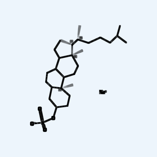 CC(C)CCC[C@@H](C)[C@H]1CCC2C3CCC4CC(OS(=O)(=O)[O-])CC[C@]4(C)C3CC[C@@]21C.[Na+]